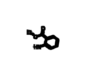 CCOC(=O)c1ccccc1[NH]